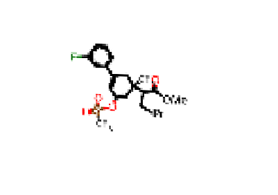 COC(=O)C(CC(C)C)C1(C(F)(F)F)C=C(OS(=O)(=O)C(F)(F)F)C=C(c2cccc(F)c2)C1